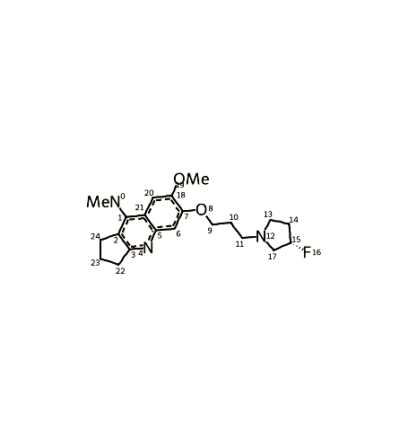 CNc1c2c(nc3cc(OCCCN4CC[C@H](F)C4)c(OC)cc13)CCC2